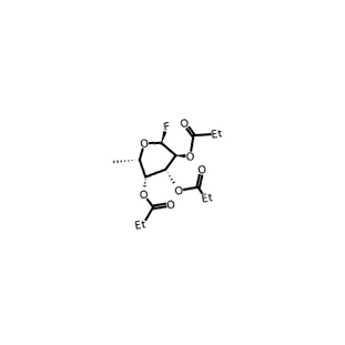 CCC(=O)O[C@@H]1[C@H](OC(=O)CC)[C@H](C)O[C@@H](F)[C@H]1OC(=O)CC